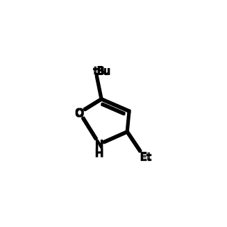 CCC1C=C(C(C)(C)C)ON1